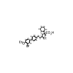 CCOc1ccc(-c2ccc(CCC(CC)C[C@@](F)(C(=O)O)C3CCCCC3)cc2)cc1Br